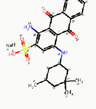 CC1CC(Nc2cc(S(=O)(=O)O)c(N)c3c2C(=O)c2ccccc2C3=O)CC(C)(C)C1.[NaH]